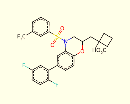 O=C(O)C1(CC2CN(S(=O)(=O)c3cccc(C(F)(F)F)c3)c3cc(-c4cc(F)ccc4F)ccc3O2)CCC1